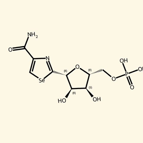 NC(=O)c1c[se]c([C@@H]2O[C@H](COP(=O)(O)O)[C@@H](O)[C@H]2O)n1